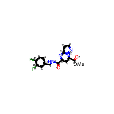 COC(=O)c1cc(C(=O)NCc2ccc(F)c(F)c2)nc2ccnn12